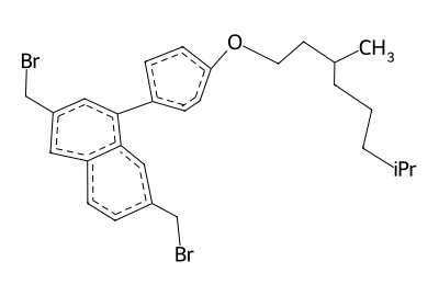 CC(C)CCCC(C)CCOc1ccc(-c2cc(CBr)cc3ccc(CBr)cc23)cc1